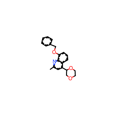 Cc1cc(C2COCCO2)c2cccc(OCc3ccccc3)c2n1